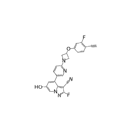 C#Cc1ccc(OC2CN(c3ccc(-c4cc(O)cn5nc(F)c(C#N)c45)cn3)C2)cc1F